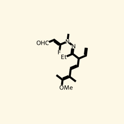 C=CC(C=C/C(C)=C(\C)OC)/C(CC)=N/N(C)/C(F)=C/C=O